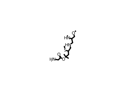 CNCC(=O)OC(C)(C)CC(CNCC(COC)NC)SC